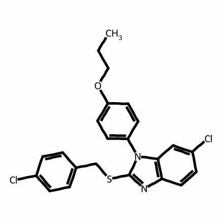 CCCOc1ccc(-n2c(SCc3ccc(Cl)cc3)nc3ccc(Cl)cc32)cc1